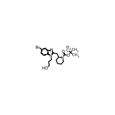 CC(C)(C)OC(=O)N1CCCCC1Cc1nc2cc(Br)ccc2n1CCCO